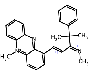 C/N=C(\C=C\c1cccc2c1nc1ccccc1[n+]2C)C(C)(C)c1ccccc1